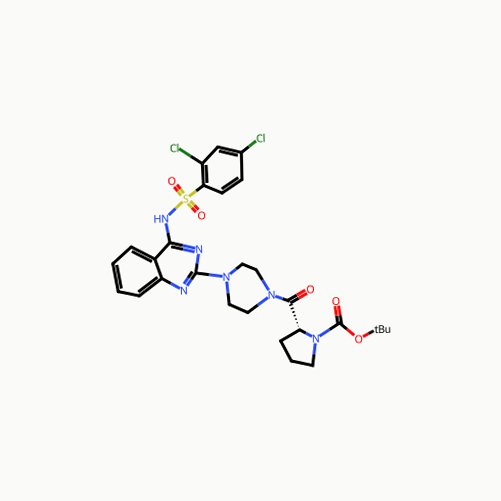 CC(C)(C)OC(=O)N1CCC[C@@H]1C(=O)N1CCN(c2nc(NS(=O)(=O)c3ccc(Cl)cc3Cl)c3ccccc3n2)CC1